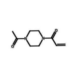 C=CC(=O)N1CCN(C(C)=O)CC1